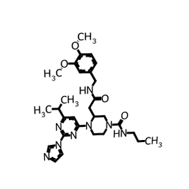 CCCNC(=O)N1CCN(c2cc(C(C)C)nc(-n3ccnc3)n2)C(CC(=O)NCc2ccc(OC)c(OC)c2)C1